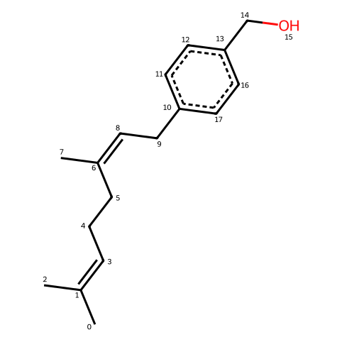 CC(C)=CCCC(C)=CCc1ccc(CO)cc1